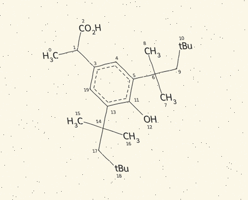 CC(C(=O)O)c1cc(C(C)(C)CC(C)(C)C)c(O)c(C(C)(C)CC(C)(C)C)c1